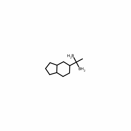 BC(B)(C)C1CCC2CCCC2C1